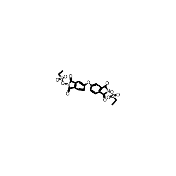 CCS(=O)(=O)ON1C(=O)c2ccc(Oc3ccc4c(c3)C(=O)N(OS(=O)(=O)CC)C4=O)cc2C1=O